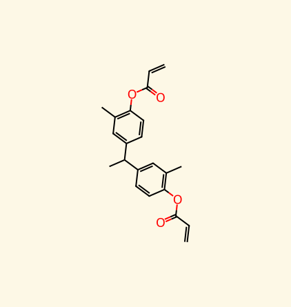 C=CC(=O)Oc1ccc(C(C)c2ccc(OC(=O)C=C)c(C)c2)cc1C